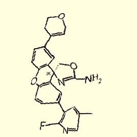 Cc1cnc(F)c(-c2ccc3c(c2)[C@@]2(COC(N)=N2)c2cc(C4=CCOCC4)ccc2O3)c1